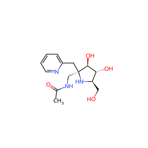 CC(=O)NC[C@@]1(Cc2ccccn2)N[C@H](CO)[C@@H](O)[C@@H]1O